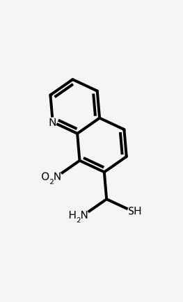 NC(S)c1ccc2cccnc2c1[N+](=O)[O-]